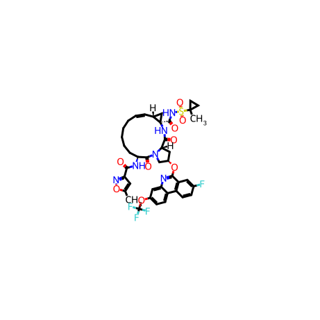 Cc1cc(C(=O)N[C@H]2CCCCC/C=C\[C@@H]3C[C@@]3(C(=O)NS(=O)(=O)C3(C)CC3)NC(=O)[C@@H]3C[C@@H](Oc4nc5cc(OC(F)(F)F)ccc5c5ccc(F)cc45)CN3C2=O)no1